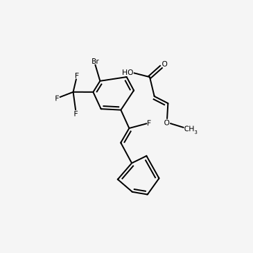 COC=CC(=O)O.FC(=Cc1ccccc1)c1ccc(Br)c(C(F)(F)F)c1